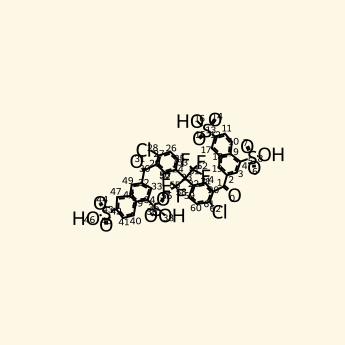 O=C(c1cc(S(=O)(=O)O)c2ccc(S(=O)(=O)O)cc2c1)c1cc(C(c2ccc(Cl)c(C(=O)c3cc(S(=O)(=O)O)c4ccc(S(=O)(=O)O)cc4c3)c2)(C(F)(F)F)C(F)(F)F)ccc1Cl